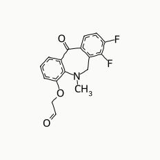 CN1Cc2c(ccc(F)c2F)C(=O)c2cccc(OCC=O)c21